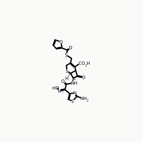 Nc1nc(/C(=N/O)C(=O)N[C@@H]2C(=O)C3C(C(=O)O)=C(CSC(=O)c4ccco4)CS[C@@H]32)cs1